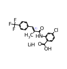 C/C(=C\c1ccc(C(F)(F)F)cc1)C(=O)Nc1cc(Cl)ccc1C(=O)O.[LiH]